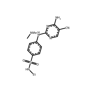 CCNS(=O)(=O)c1ccc(Nc2ncc(C#N)c(N)n2)cc1.CNC